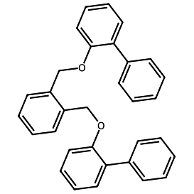 c1ccc(-c2ccccc2OCc2ccccc2COc2ccccc2-c2ccccc2)cc1